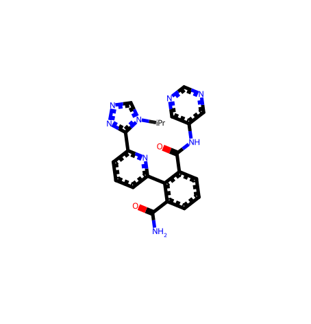 CC(C)n1cnnc1-c1cccc(-c2c(C(N)=O)cccc2C(=O)Nc2cncnc2)n1